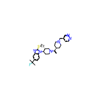 C=C(C1CCN(Cc2ccnnc2)CC1)N1CCC(n2c(SCC)nc3cc(C(C)(C)F)ccc32)CC1